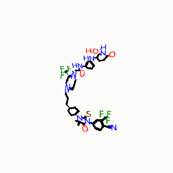 CC1(C)C(=O)N(c2ccc(C#N)c(C(F)(F)F)c2)C(=S)N1[C@H]1CC[C@H](CCCN2CCN(CC(=O)Nc3cccc(NC4CCC(=O)NC4O)c3)[C@@H](C(F)(F)F)C2)CC1